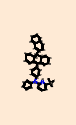 C[Si](C)(C)c1cccc(N(c2ccccc2)c2ccc(-c3c4ccccc4c(-c4ccc5ccccc5c4)c4ccccc34)cc2)n1